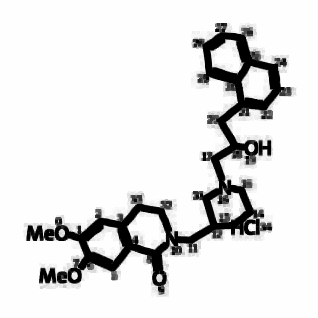 COc1cc2c(cc1OC)C(=O)N(CC1CCCN(CC(O)Cc3cccc4ccccc34)C1)CC2.Cl